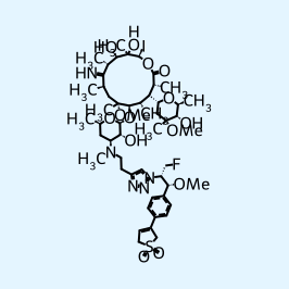 CO[C@H](c1ccc(C2=CCS(=O)(=O)C2)cc1)[C@@H](CF)n1cc(CCN(C)[C@H]2C[C@@H](C)O[C@@H](O[C@@H]3[C@@H](C)C([C@H]4C[C@@](C)(OC)[C@@H](O)[C@H](C)O4)[C@@H](C)C(=O)O[C@H](I)[C@@](C)(O)[C@H](O)[C@@H](C)C(=N)[C@H](C)C[C@@]3(C)OC)[C@@H]2O)nn1